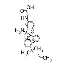 CCCCC(C)(C)c1ccc(CC(N)(c2cccc(NCC(=O)O)n2)S(=O)(=O)c2cccs2)cc1